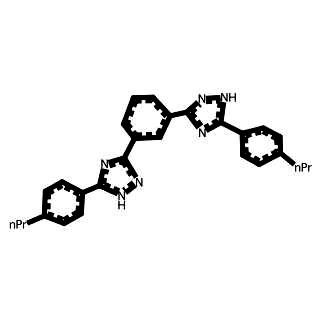 CCCc1ccc(-c2nc(-c3cccc(-c4n[nH]c(-c5ccc(CCC)cc5)n4)c3)n[nH]2)cc1